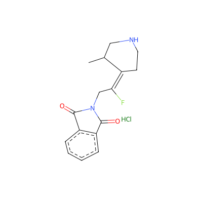 CC1CNCC/C1=C(\F)CN1C(=O)c2ccccc2C1=O.Cl